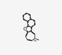 C[C@H]1C=CC=c2oc3c(ccc4ccccc43)c2=C1